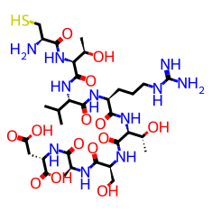 CC(C)[C@H](NC(=O)[C@@H](NC(=O)[C@@H](N)CS)[C@@H](C)O)C(=O)N[C@@H](CCCNC(=N)N)C(=O)N[C@H](C(=O)N[C@@H](CO)C(=O)N[C@@H](C)C(=O)N[C@@H](CC(=O)O)C(=O)O)[C@@H](C)O